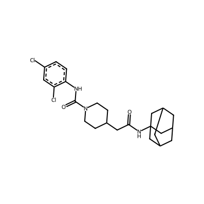 O=C(CC1CCN(C(=O)Nc2ccc(Cl)cc2Cl)CC1)NC12CC3CC(CC(C3)C1)C2